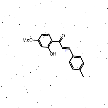 COc1ccc(C(=O)/C=C/c2ccc(C)cc2)c(O)c1